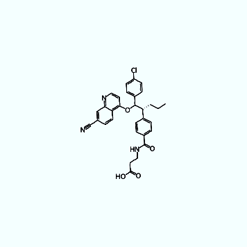 CCC[C@H](c1ccc(C(=O)NCCC(=O)O)cc1)C(Oc1ccnc2cc(C#N)ccc12)c1ccc(Cl)cc1